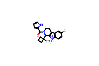 O=C(c1ccc[nH]1)N1CCc2c([nH]c3ccc(Cl)cc23)C1C1(C(=O)O)CCC1